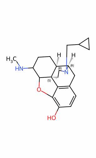 CNC1CC[C@H]2[C@H]3Cc4ccc(O)c5c4[C@@]2(CCN3CC2CC2)C1O5